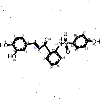 O=C(/C=C/c1ccc(O)c(O)c1)c1ccccc1NS(=O)(=O)c1ccc(O)cc1